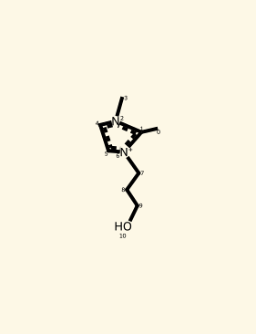 Cc1n(C)cc[n+]1CCCO